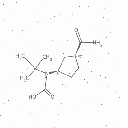 CC(C)(C)N(C(=O)O)[C@@H]1CC[C@H](C(N)=O)C1